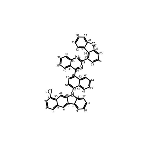 Clc1cccc2cc3c4ccccc4n(-c4ccc(-c5nc(-c6cccc7oc8ccccc8c67)nc6ccccc56)c5ccccc45)c3cc12